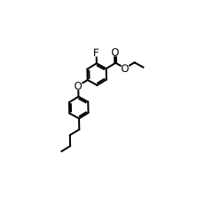 CCCCc1ccc(Oc2ccc(C(=O)OCC)c(F)c2)cc1